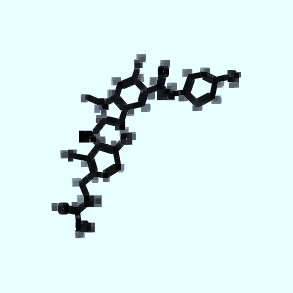 Cn1c(Nc2c(Cl)ccc(CNC(=O)C(C)(C)C)c2F)nc2cc(C(=O)Nc3ccc(Br)cc3)c(F)cc21